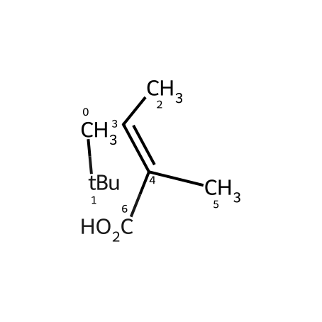 CC(C)(C)C.CC=C(C)C(=O)O